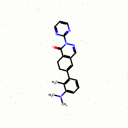 Cc1c(C2=Cc3cnn(-c4ncccn4)c(=O)c3CC2)cccc1N(C)C